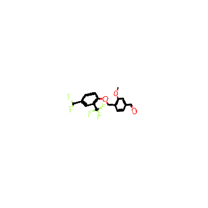 COc1cc(C=O)ccc1COc1ccc(C(F)F)cc1C(F)(F)F